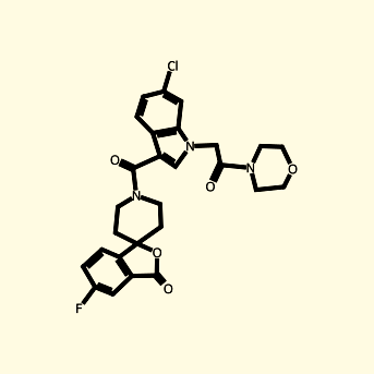 O=C1OC2(CCN(C(=O)c3cn(CC(=O)N4CCOCC4)c4cc(Cl)ccc34)CC2)c2ccc(F)cc21